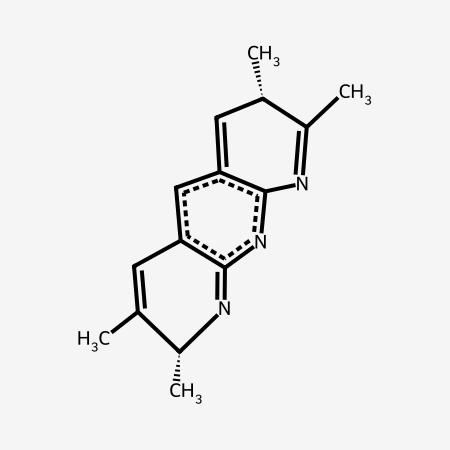 CC1=Cc2cc3c(nc2=N[C@@H]1C)N=C(C)[C@@H](C)C=3